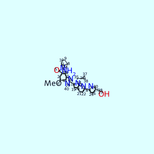 COc1cc(C(=O)N2CC3CCC2C3N)cc2nc(-c3cc4ccc(-c5ccc(CO)cn5)nc4n3CC3CC3)n(C)c12